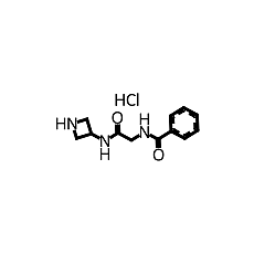 Cl.O=C(CNC(=O)c1ccccc1)NC1CNC1